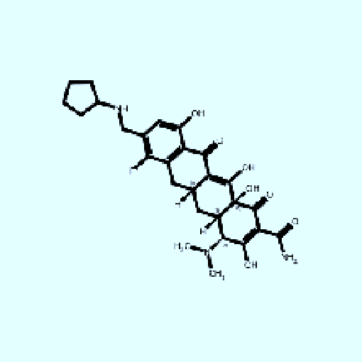 CN(C)[C@@H]1C(O)=C(C(N)=O)C(=O)[C@@]2(O)C(O)=C3C(=O)c4c(O)cc(CNC5CCCC5)c(F)c4C[C@H]3C[C@@H]12